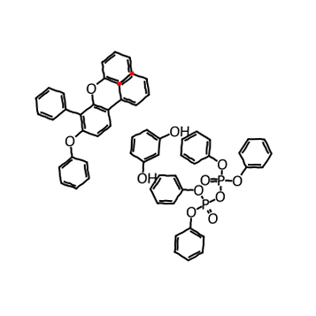 O=P(Oc1ccccc1)(Oc1ccccc1)OP(=O)(Oc1ccccc1)Oc1ccccc1.Oc1cccc(O)c1.c1ccc(Oc2ccc(-c3ccccc3)c(Oc3ccccc3)c2-c2ccccc2)cc1